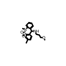 COCCCNC1c2ccccc2N(C)S(=O)(=O)c2cc(C)ccc21